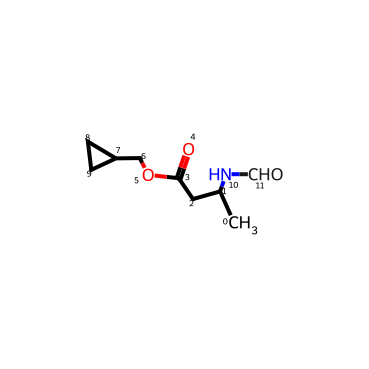 CC(CC(=O)OCC1CC1)NC=O